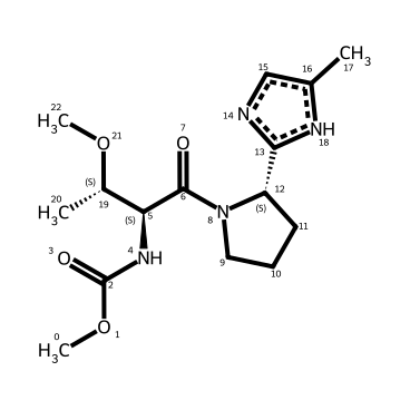 COC(=O)N[C@H](C(=O)N1CCC[C@H]1c1ncc(C)[nH]1)[C@H](C)OC